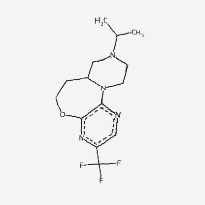 CC(C)N1CCN2c3ncc(C(F)(F)F)nc3OCCC2C1